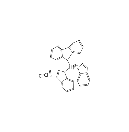 C1=C[CH]([Hf+2]([CH]2C=Cc3ccccc32)[CH]2c3ccccc3-c3ccccc32)c2ccccc21.C=C.[Cl-].[Cl-]